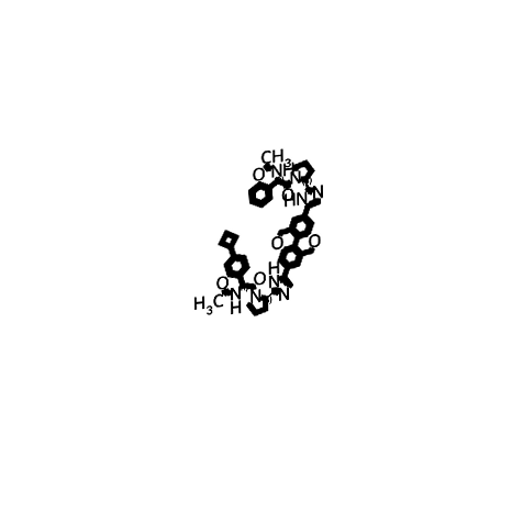 CC(=O)N[C@@H](C(=O)N1CCC[C@H]1c1ncc(-c2cc3c4c(c2)OCc2cc(-c5cnc([C@@H]6CCCN6C(=O)[C@H](NC(C)=O)c6ccc(C7CCC7)cc6)[nH]5)cc(c2-4)OC3)[nH]1)c1ccccc1